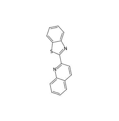 c1ccc2nc(-c3nc4ccccc4s3)ccc2c1